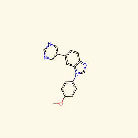 COc1ccc(-n2cnc3ccc(-c4cncnc4)cc32)cc1